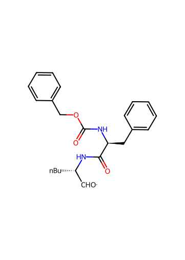 CCCC[C@@H]([C]=O)NC(=O)[C@H](Cc1ccccc1)NC(=O)OCc1ccccc1